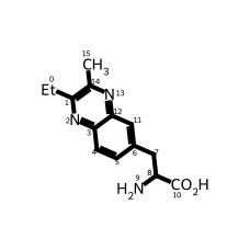 CCc1nc2ccc(CC(N)C(=O)O)cc2nc1C